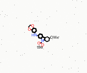 COC1CCc2c(c3ccc(Nc4ccc5c(c4)OCCO5)cc3n2C(=O)OC(C)(C)C)C1